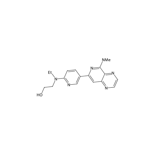 CCN(CCO)c1ccc(-c2cc3nccnc3c(NC)n2)cn1